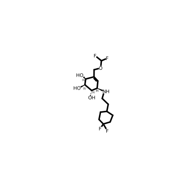 O[C@@H]1[C@@H](O)[C@@H](O)C(COC(F)F)=C[C@H]1NCCC1CCC(F)(F)CC1